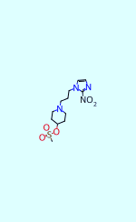 CS(=O)(=O)OC1CCN(CCCn2ccnc2[N+](=O)[O-])CC1